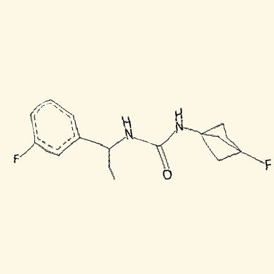 CC(NC(=O)NC12CC(F)(C1)C2)c1cccc(F)c1